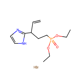 Br.C=CC(CCP(=O)(OCC)OCC)c1ncc[nH]1